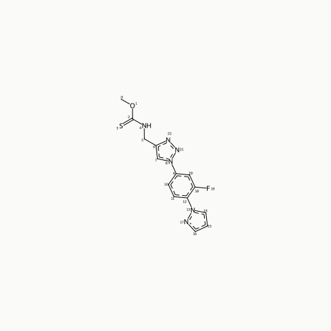 COC(=S)NCc1cn(-c2ccc(-n3cccn3)c(F)c2)nn1